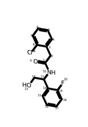 O=C(Cc1ccccc1Cl)NC(CO)c1ccccc1F